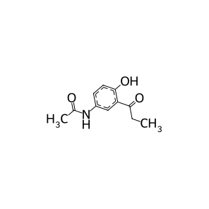 CCC(=O)c1cc(NC(C)=O)ccc1O